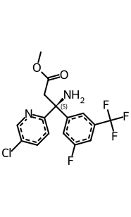 COC(=O)C[C@](N)(c1cc(F)cc(C(F)(F)F)c1)c1ccc(Cl)cn1